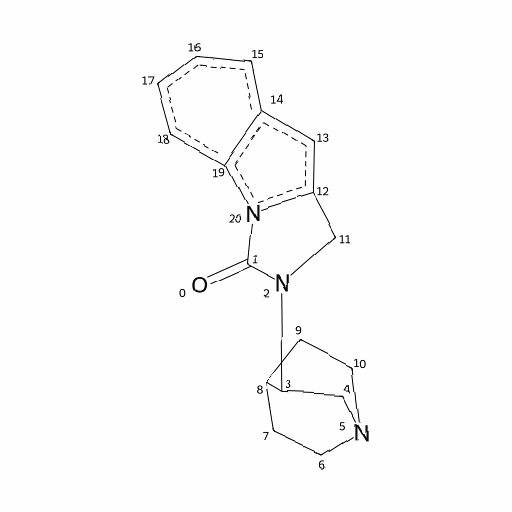 O=C1N(C2CN3CCC2CC3)Cc2cc3ccccc3n21